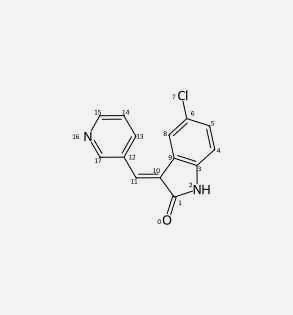 O=C1Nc2ccc(Cl)cc2/C1=C\c1cccnc1